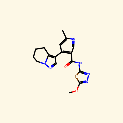 COc1nnc(NC(=O)c2cnc(C)cc2-c2cnn3c2CCCC3)s1